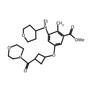 CCN(c1cc(OC2CC(C(=O)N3CCOCC3)C2)cc(C(=O)OC)c1C)C1CCOCC1